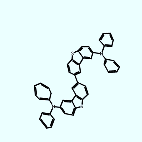 C1=CC=C(N(c2ccccc2)c2ccc3sc4ccc(-c5ccc6sc7ccc(N(c8ccccc8)c8ccccc8)cc7c6c5)cc4c3c2)CC=C1